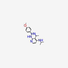 COc1ccc(CNc2nccc(NC(C)C)c2C(C)=N)cc1